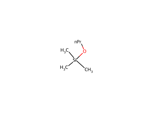 CCCO[Si](C)(C)C